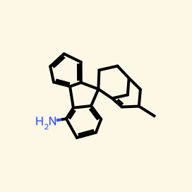 CC1C=C2CC(CCC23c2ccccc2-c2c(N)cccc23)C1